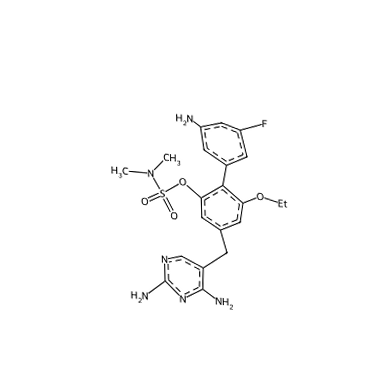 CCOc1cc(Cc2cnc(N)nc2N)cc(OS(=O)(=O)N(C)C)c1-c1cc(N)cc(F)c1